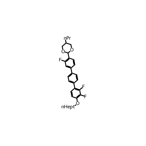 CCCCCCCOc1ccc(-c2ccc(-c3ccc(C4OCC(CCC)CO4)c(F)c3)cc2)c(F)c1F